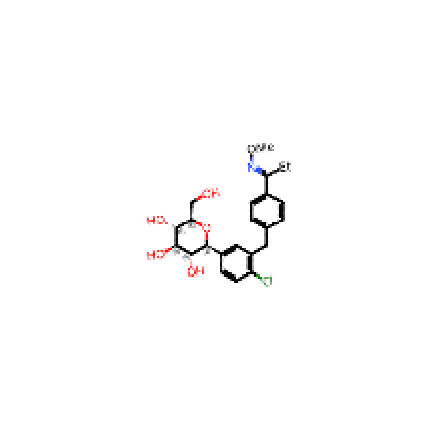 CCC(=NOC)c1ccc(Cc2cc([C@@H]3O[C@H](CO)[C@@H](O)[C@H](O)[C@H]3O)ccc2Cl)cc1